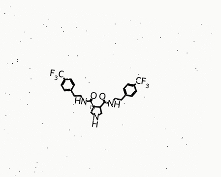 O=C(NCCc1ccc(C(F)(F)F)cc1)C1CNC[C@H]1C(=O)NCCc1ccc(C(F)(F)F)cc1